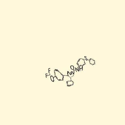 O=C(Nc1ccc(Sc2ccccc2)cc1)N1CC(c2ccccc2)C(c2ccc(OC(F)F)cc2)=N1